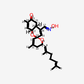 CC(C)=CCC/C(C)=C/[C@@H]1CC(C)=C[C@]2(C=C(/C=N/O)[C@H]3CC(=O)C(C)=C[C@H]3O2)O1